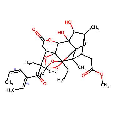 C/C=C\C(=C/C)C(=O)C(C)(C)C1CC(=O)OC2C3(O)C(O)C4(C)CC35OC3(C)OC12C(CC)(O3)C5(C)C4CC(=O)OC